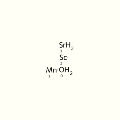 O.[Mn].[Sc].[SrH2]